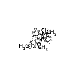 COc1ccc(-c2nnc(N(C)[C@@H](C)c3ccccc3)c3ccccc23)c(OC)c1